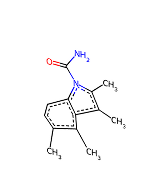 Cc1ccc2c(c1C)c(C)c(C)n2C(N)=O